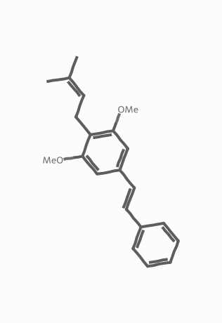 COc1cc(C=Cc2ccccc2)cc(OC)c1CC=C(C)C